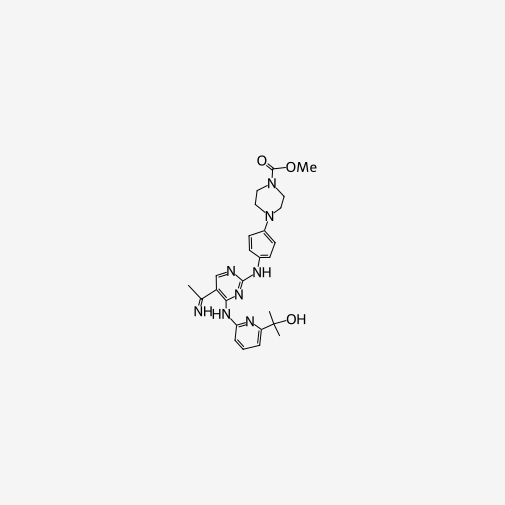 COC(=O)N1CCN(c2ccc(Nc3ncc(C(C)=N)c(Nc4cccc(C(C)(C)O)n4)n3)cc2)CC1